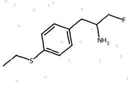 CCSc1ccc(CC(N)CF)cc1